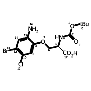 CC(C)(C)OC(=O)N[C@@H](COc1cc(Cl)c(Br)cc1N)C(=O)O